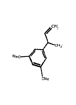 [CH2]C(C=C)c1cc(OC)cc(OC)c1